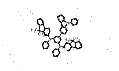 CC1(C)c2ccccc2-c2ccc(N(c3ccccc3)c3cc(-c4ccc5c(c4)c4ccccc4n5-c4ccccc4)cc(N(c4ccccc4)c4ccc5c(c4)C(C)(C)c4ccccc4-5)c3)cc21